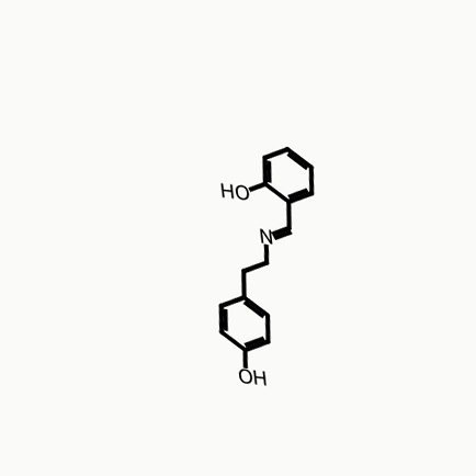 Oc1ccc(CCN=Cc2ccccc2O)cc1